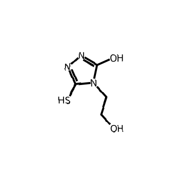 OCCn1c(O)nnc1S